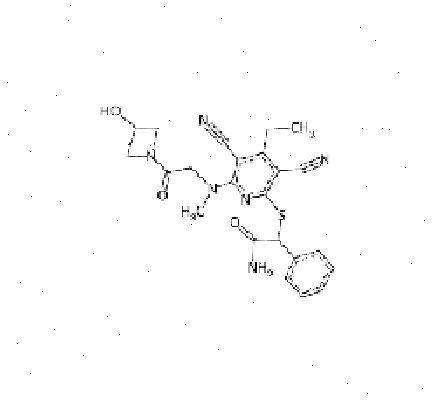 CCc1c(C#N)c(SC(C(N)=O)c2ccccc2)nc(N(C)CC(=O)N2CC(O)C2)c1C#N